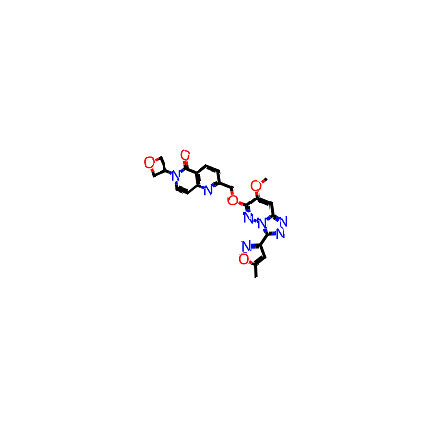 COc1cc2nnc(-c3cc(C)on3)n2nc1OCc1ccc2c(=O)n(C3COC3)ccc2n1